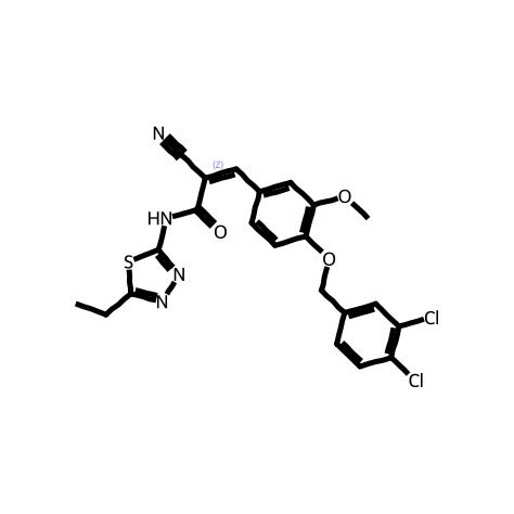 CCc1nnc(NC(=O)/C(C#N)=C\c2ccc(OCc3ccc(Cl)c(Cl)c3)c(OC)c2)s1